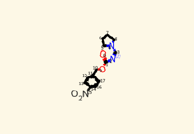 O=C(/N=C\N1C[CH]CC1)OCc1ccc([N+](=O)[O-])cc1